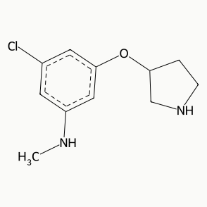 CNc1cc(Cl)cc(OC2CCNC2)c1